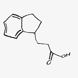 O=C(O)CCC1CCc2ccccc21